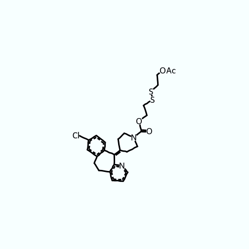 CC(=O)OCCSSCCOC(=O)N1CCC(=C2c3ccc(Cl)cc3CCc3cccnc32)CC1